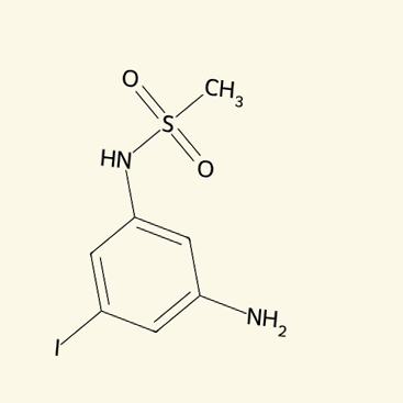 CS(=O)(=O)Nc1cc(N)cc(I)c1